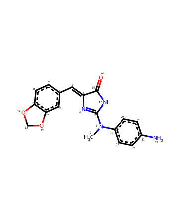 CN(C1=NC(=Cc2ccc3c(c2)OCO3)C(=O)N1)c1ccc(N)cc1